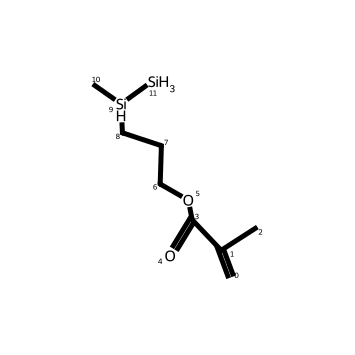 C=C(C)C(=O)OCCC[SiH](C)[SiH3]